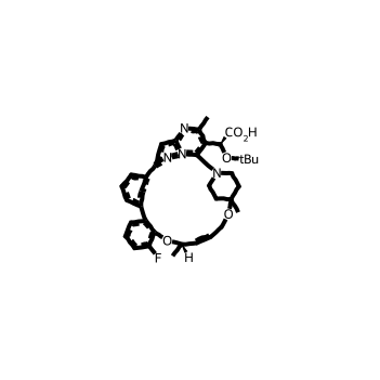 Cc1nc2cc3nn2c(c1[C@H](OC(C)(C)C)C(=O)O)N1CCC(C)(CC1)OCC=C[C@H](C)Oc1c(F)cccc1-c1cccc-3c1